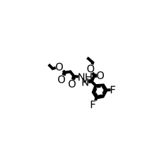 CCOC(=O)CC(=O)NN=C(C(=O)OCC)c1cc(F)cc(F)c1